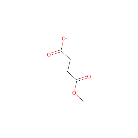 COC(=O)CCC([O])=O